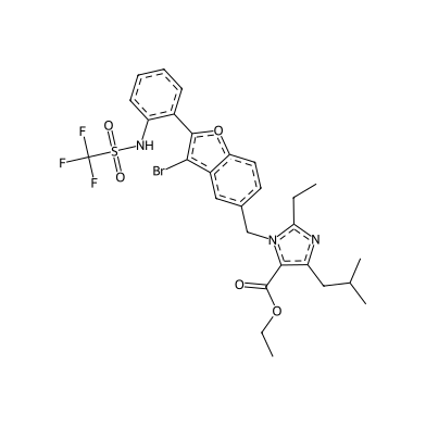 CCOC(=O)c1c(CC(C)C)nc(CC)n1Cc1ccc2oc(-c3ccccc3NS(=O)(=O)C(F)(F)F)c(Br)c2c1